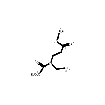 CCOC(=O)C(=O)N(CCC(=O)OC(C)(C)C)CC(F)(F)F